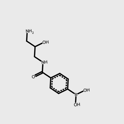 NCC(O)CNC(=O)c1ccc(B(O)O)cc1